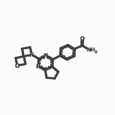 NC(=O)c1ccc(-c2nc(N3CCC34COC4)nc3c2CCC3)cc1